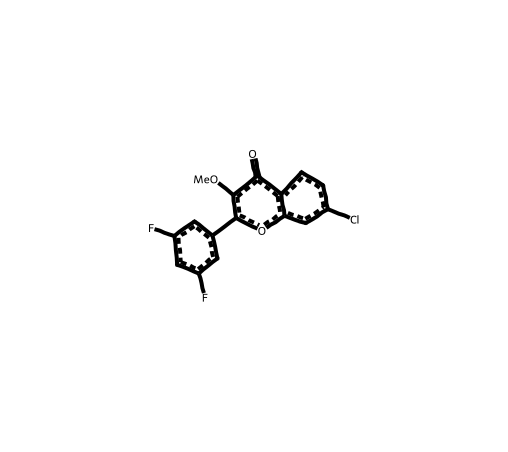 COc1c(-c2cc(F)cc(F)c2)oc2cc(Cl)ccc2c1=O